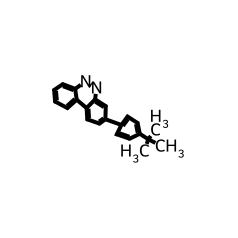 CC(C)(C)c1ccc(-c2ccc3c(c2)nnc2ccccc23)cc1